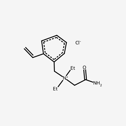 C=Cc1ccccc1C[N+](CC)(CC)CC(N)=O.[Cl-]